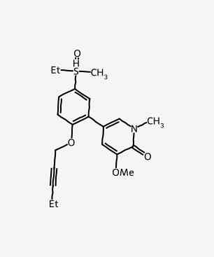 CCC#CCOc1ccc([SH](C)(=O)CC)cc1-c1cc(OC)c(=O)n(C)c1